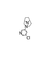 CN1C2CCC1CN(c1cncc(Cl)c1)CC2